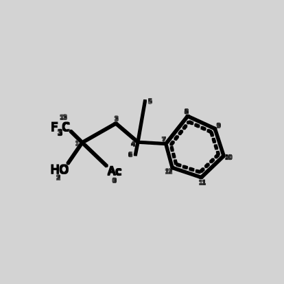 CC(=O)C(O)(CC(C)(C)c1ccccc1)C(F)(F)F